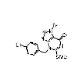 CCn1nnc2c1c(=O)nc(SC)n2Cc1ccc(Cl)cc1